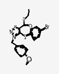 CCOC(=O)c1nnn(Cc2ccc(OC)cc2)c1Sc1ccc(Br)cc1